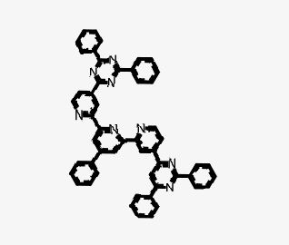 c1ccc(-c2cc(-c3cc(-c4cc(-c5ccccc5)nc(-c5ccccc5)n4)ccn3)nc(-c3cc(-c4nc(-c5ccccc5)nc(-c5ccccc5)n4)ccn3)c2)cc1